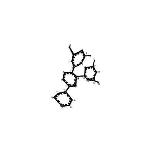 Cc1cc(C)cc(-c2ccc(-c3ccccc3)cc2-c2cc(C)cc(C)c2)c1